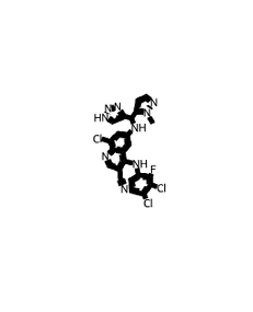 Cn1nccc1C(Nc1cc(Cl)c2ncc(C#N)c(Nc3ccc(Cl)c(Cl)c3F)c2c1)c1c[nH]nn1